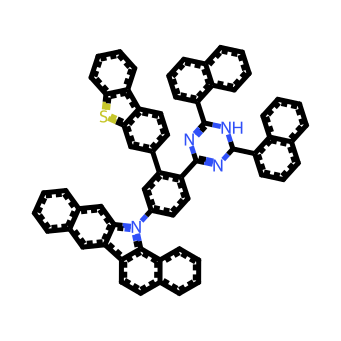 c1ccc2cc3c(cc2c1)c1ccc2ccccc2c1n3-c1ccc(C2=NC(c3cccc4ccccc34)NC(c3cccc4ccccc34)=N2)c(-c2ccc3c(c2)sc2ccccc23)c1